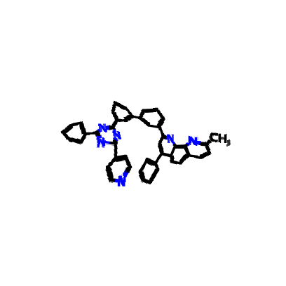 Cc1ccc2ccc3c(-c4ccccc4)cc(-c4cccc(-c5cccc(-c6nc(-c7ccccc7)nc(-c7ccncc7)n6)c5)c4)nc3c2n1